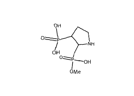 COP(=O)(O)C1NCCC1P(=O)(O)O